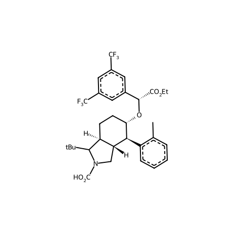 CCOC(=O)[C@H](O[C@H]1CC[C@@H]2C(C(C)(C)C)N(C(=O)O)C[C@H]2[C@@H]1c1ccccc1C)c1cc(C(F)(F)F)cc(C(F)(F)F)c1